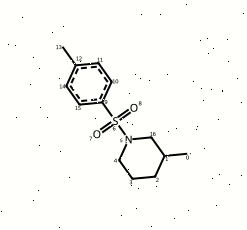 [CH2]C1CCCN(S(=O)(=O)c2ccc(C)cc2)C1